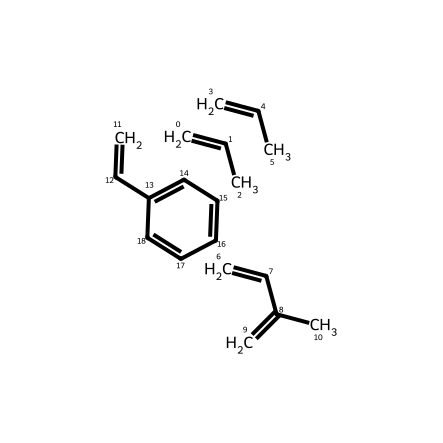 C=CC.C=CC.C=CC(=C)C.C=Cc1ccccc1